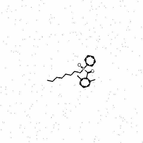 CCCCCCCCP(=O)(C(=O)c1c(C)cccc1C)c1ccccc1